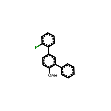 COc1ccc(-c2ccccc2F)cc1-c1cc[c]cc1